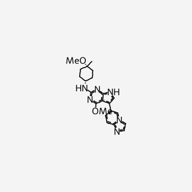 COc1nc(N[C@H]2CC[C@@](C)(OC)CC2)nc2[nH]cc(-c3ccc4nccn4c3)c12